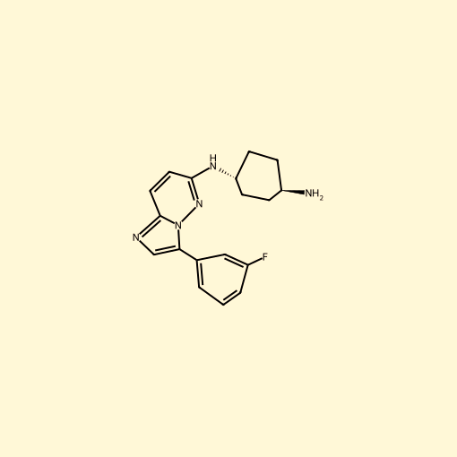 N[C@H]1CC[C@H](Nc2ccc3ncc(-c4cccc(F)c4)n3n2)CC1